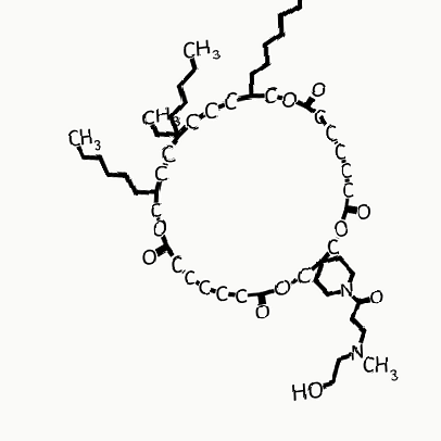 CCCCCCCCC1CCCC(CC)(CCCCC)CCC(CCCCCC)COC(=O)CCCCCC(=O)OCC2(CCN(C(=O)CCN(C)CCO)CC2)COC(=O)CCCCCC(=O)OC1